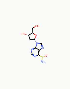 N[S+]([O-])c1ncnc2c1ncn2[C@@H]1C[C@H](O)[C@@H](CO)O1